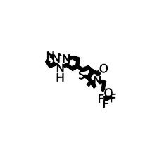 Cn1nccc1Nc1cc(-c2cc3c(s2)C(C)(C)N(CCOC(F)(F)F)C3=O)ccn1